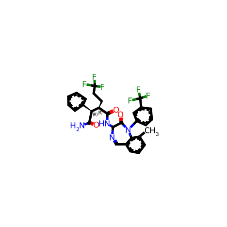 Cc1cccc2c1N(c1cccc(C(F)(F)F)c1)C(=O)C(NC(=O)[C@H](CCC(F)(F)F)[C@@H](C(N)=O)c1ccccc1)N=C2